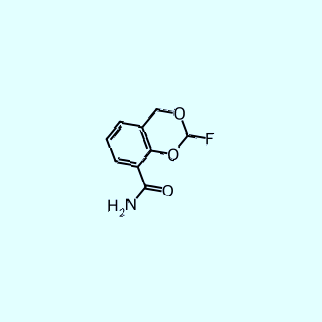 NC(=O)c1cccc2c1OC(F)OC2